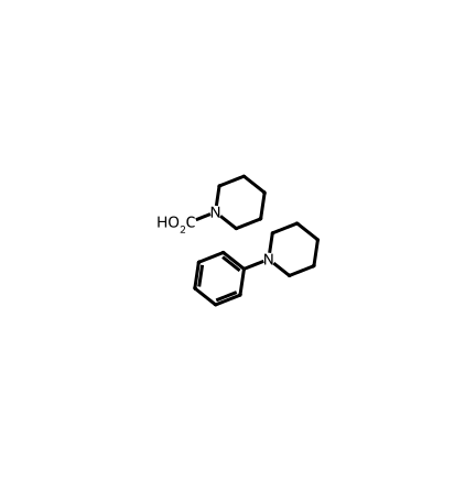 O=C(O)N1CCCCC1.c1ccc(N2CCCCC2)cc1